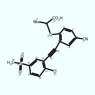 CC(C)(C)C(Oc1ccc(C#N)cc1C#Cc1cc(S(C)(=O)=O)ccc1Cl)C(=O)O